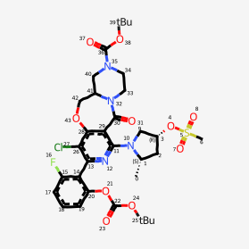 C[C@H]1C[C@@H](OS(C)(=O)=O)CN1c1nc(-c2c(F)cccc2OC(=O)OC(C)(C)C)c(Cl)c2c1C(=O)N1CCN(C(=O)OC(C)(C)C)CC1CO2